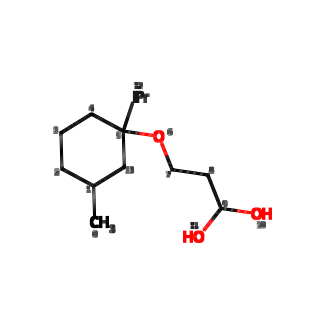 CC1CCCC(OCCC(O)O)(C(C)C)C1